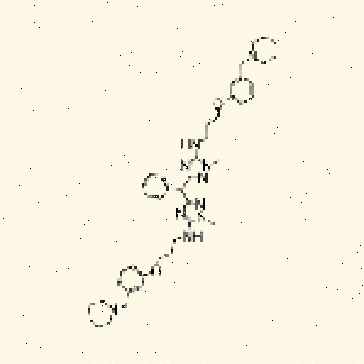 Cn1nc(C(c2ccccc2)c2nc(NCCCOc3cccc(CN4CCCCC4)c3)n(C)n2)nc1NCCCOc1cccc(CN2CCCCC2)c1